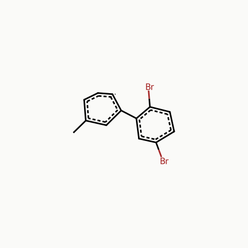 Cc1cc[c]c(-c2cc(Br)ccc2Br)c1